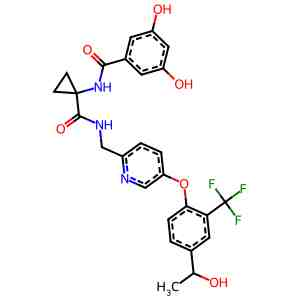 CC(O)c1ccc(Oc2ccc(CNC(=O)C3(NC(=O)c4cc(O)cc(O)c4)CC3)nc2)c(C(F)(F)F)c1